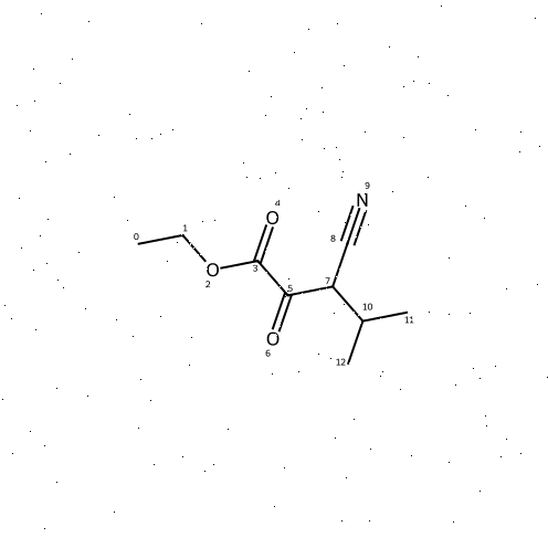 CCOC(=O)C(=O)C(C#N)C(C)C